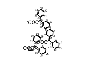 O=C([O-])C(c1ccccc1)c1ccccc1.O=C([O-])C(c1ccccc1)c1ccccc1.O=C([O-])C(c1ccccc1)c1ccccc1.[Eu+3]